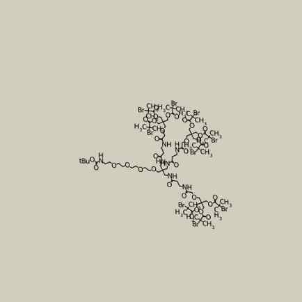 CC(C)(C)OC(=O)NCCOCCOCCOCCOCC(CNC(=O)CCNC(=O)COCC(COC(=O)C(C)(C)Br)(COC(=O)C(C)(C)Br)COC(=O)C(C)(C)Br)(CNC(=O)CCNC(=O)COCC(COC(=O)C(C)(C)Br)(COC(=O)C(C)(C)Br)COC(=O)C(C)(C)Br)CNC(=O)CCNC(=O)COCC(COC(=O)C(C)(C)Br)(COC(=O)C(C)(C)Br)COC(=O)C(C)(C)Br